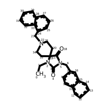 CCN1C(=O)N(Cc2ccc3ccccc3c2)C(=O)C12CCN(Cc1cccc3ccccc13)CC2